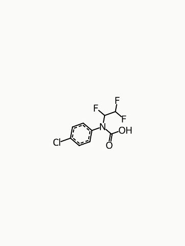 O=C(O)N(c1ccc(Cl)cc1)C(F)C(F)F